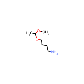 CC(O[SiH3])OCCCCN